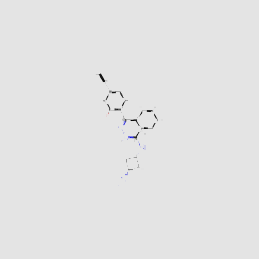 C#Cc1ccc(-c2nnc(NC3CC(N)C3)c3ccccc23)c(O)c1